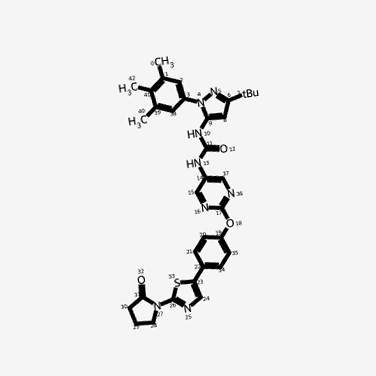 Cc1cc(-n2nc(C(C)(C)C)cc2NC(=O)Nc2cnc(Oc3ccc(-c4cnc(N5CCCC5=O)s4)cc3)nc2)cc(C)c1C